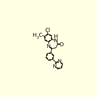 Cc1cc2c(cc1Cl)NC(=O)CC(c1cccc(-c3ncccn3)c1)=N2